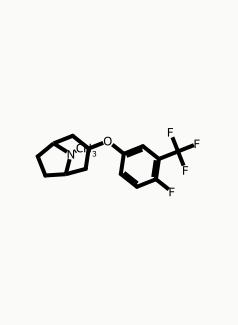 CN1C2CCC1CC(Oc1ccc(F)c(C(F)(F)F)c1)C2